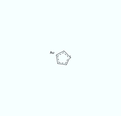 [Au].c1ccsc1